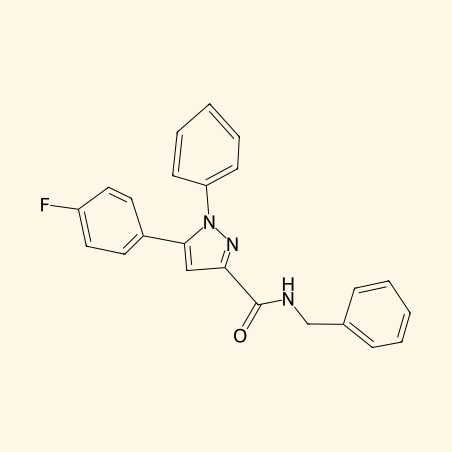 O=C(NCc1ccccc1)c1cc(-c2ccc(F)cc2)n(-c2ccccc2)n1